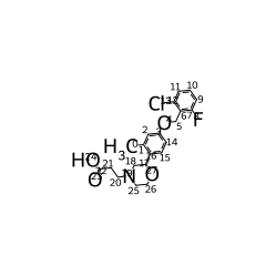 Cc1cc(OCc2c(F)cccc2Cl)ccc1C1CN(CCC(=O)O)CCO1